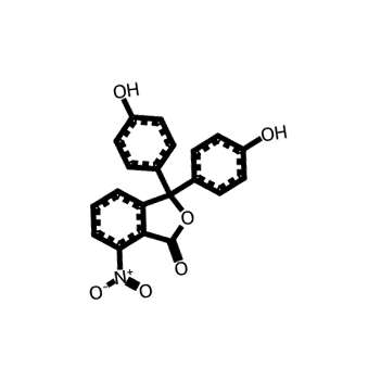 O=C1OC(c2ccc(O)cc2)(c2ccc(O)cc2)c2cccc([N+](=O)[O-])c21